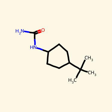 CC(C)(C)C1CCC(NC(N)=O)CC1